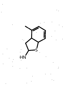 CC1=CC=CC2SC([NH])CC12